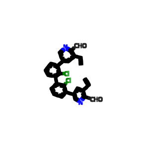 C=Cc1cc(-c2cccc(-c3cccc(-c4cnc(C=O)c(C=C)c4)c3Cl)c2Cl)cnc1C=O